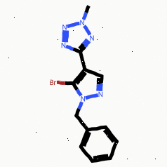 Cn1nnc(-c2cnn(Cc3ccccc3)c2Br)n1